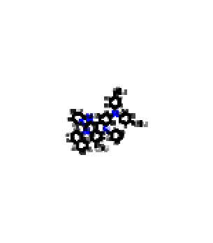 CC(C)(C)c1ccc(N(c2ccc(C(C)(C)C)cc2)c2ccc3c(c2)N(c2ccccc2)c2cc(C(C)(C)C)cc4c2B3c2nc3ccccn3c2N4c2cccc3ccccc23)cc1